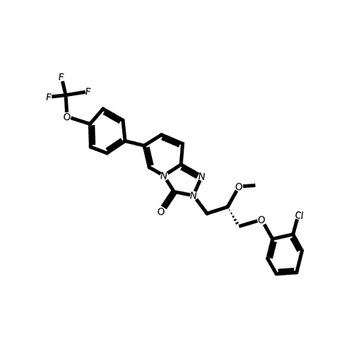 CO[C@H](COc1ccccc1Cl)Cn1nc2ccc(-c3ccc(OC(F)(F)F)cc3)cn2c1=O